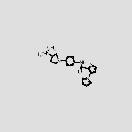 CN(C)C1CCN(c2ccc(NC(=O)c3sccc3-n3cccc3)cc2)C1